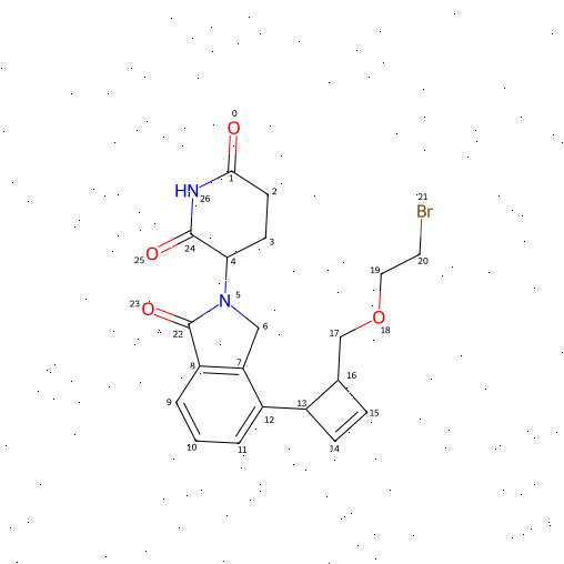 O=C1CCC(N2Cc3c(cccc3C3C=CC3COCCBr)C2=O)C(=O)N1